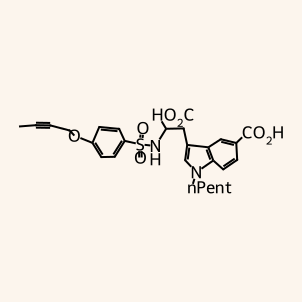 CC#CCOc1ccc(S(=O)(=O)NC(Cc2cn(CCCCC)c3ccc(C(=O)O)cc23)C(=O)O)cc1